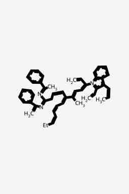 C=C/C(=C\C=C(/C)C(=C/C=C\C=C/CC)/C=C\CC(=N/C(=C)c1ccccc1)/N=C(\C)c1ccccc1)n1c(C=C)c(/C=C\C)c2ccccc21